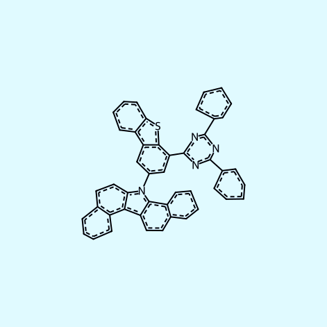 c1ccc(-c2nc(-c3ccccc3)nc(-c3cc(-n4c5ccc6ccccc6c5c5ccc6ccccc6c54)cc4c3sc3ccccc34)n2)cc1